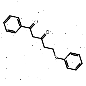 O=C(CCSc1ccccc1)CC(=O)c1ccccc1